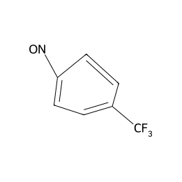 O=Nc1ccc(C(F)(F)F)cc1